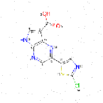 O=C(O)c1c[nH]c2ncc(-c3cnc(Cl)s3)nc12